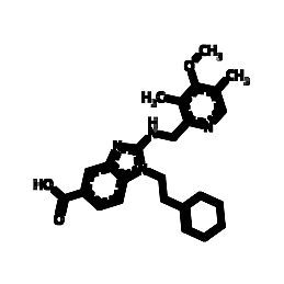 COc1c(C)cnc(CNc2nc3cc(C(=O)O)ccc3n2CCC2=CCCCC2)c1C